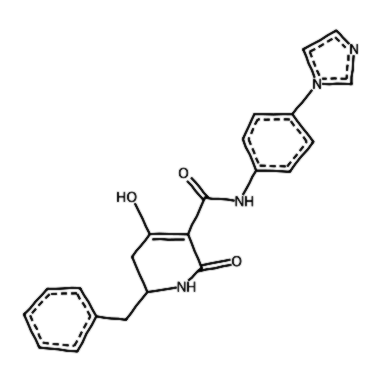 O=C(Nc1ccc(-n2ccnc2)cc1)C1=C(O)CC(Cc2ccccc2)NC1=O